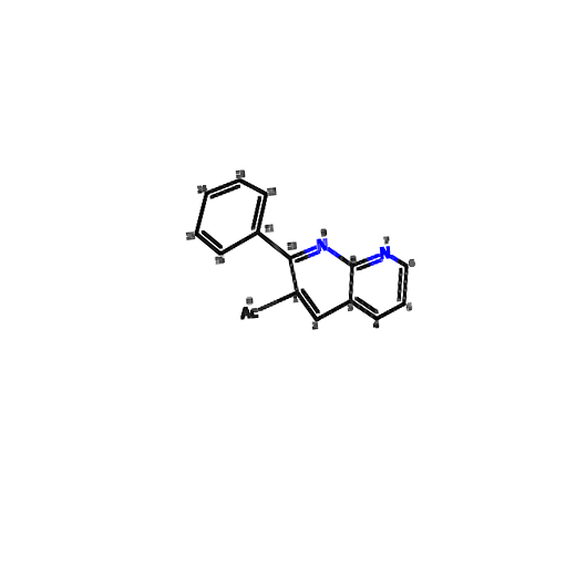 CC(=O)c1cc2cccnc2nc1-c1ccccc1